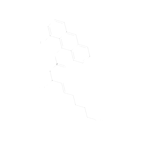 CCCCCCCCCCCCCCC=CC(CC(=O)Oc1c2ccccc2cc2cccc(CC)c12)C(=O)O